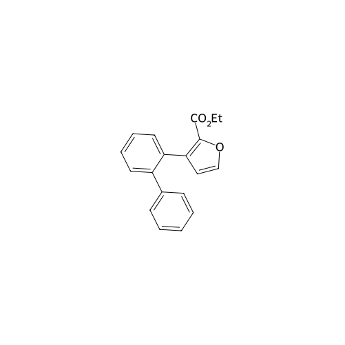 CCOC(=O)c1occc1-c1ccccc1-c1ccccc1